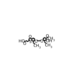 CCCc1c(OCCCOc2ccc3c(=O)cc(C=CC(=O)O)sc3c2CCC)ccc(C(C)=O)c1O